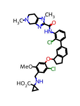 COc1cc(OC2CCc3ccc(-c4cccc(NC(=O)c5nc6c(n5C)CCN(C)C6)c4Cl)cc32)c(Cl)cc1CNC1(C(=O)O)CC1